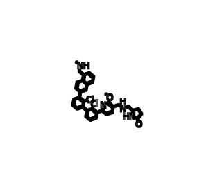 CNCc1cccc2cc(-c3cccc(-c4cccc(-c5ccc(CNCC6CCC(=O)N6)c(OC)n5)c4Cl)c3Cl)ccc12